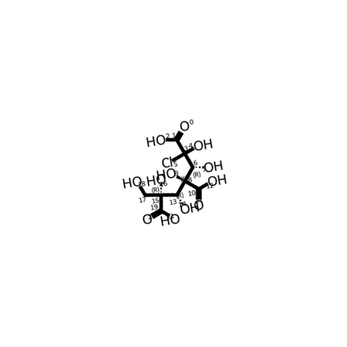 O=C(O)C(O)(Cl)[C@H](O)[C@](O)(C(=O)O)[C@H](O)[C@](O)(CO)C(=O)O